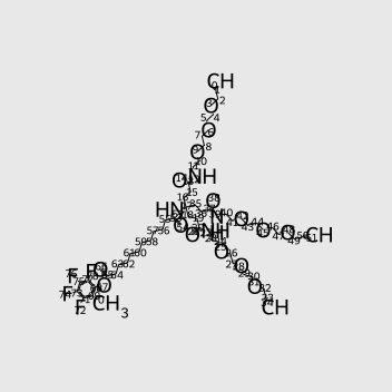 C#CCOCCOCCOCCNC(=O)CCC(CCC(=O)NCCOCCOCCOCC#C)(CCC(=O)NCCOCCOCCOCC#C)NC(=O)CCCCCCCCCCC(=O)Oc1c(C)c(F)c(F)c(F)c1F